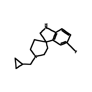 Fc1ccc2c(c1)C1(CCN(CC3CC3)CC1)CN2